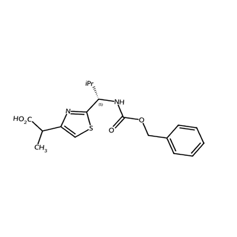 CC(C(=O)O)c1csc([C@@H](NC(=O)OCc2ccccc2)C(C)C)n1